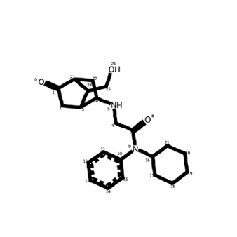 O=C1CC2C(NCC(=O)N(c3ccccc3)C3CCCCC3)CC1C2CO